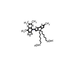 C=c1cc2c(s1)=c1s/c(=c3/c4nsnc4c(=C)c4nc(C)c(C)nc34)cc1C2(CCCCCCCCCCCCCCCC)CCCCCCCCCCCCCCCC